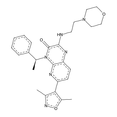 Cc1noc(C)c1-c1ccc2nc(NCCN3CCOCC3)c(=O)n([C@@H](C)c3ccccc3)c2n1